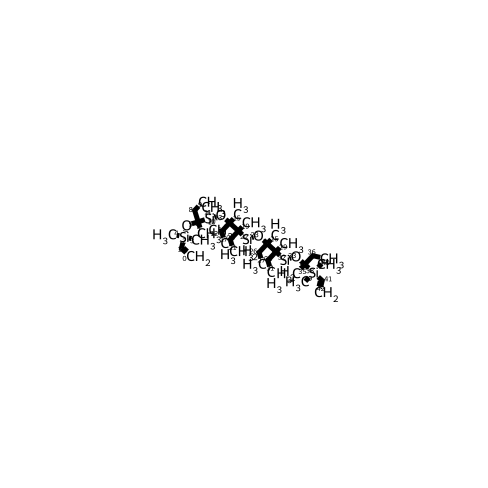 C=C[Si](C)(C)OC(C)(CC)[Si](C)(C)OC(C)(CC)C(C)(CC)[SiH2]OC(C)(CC)C(C)(CC)[SiH2]OC(C)(CC)[Si](C)(C)C=C